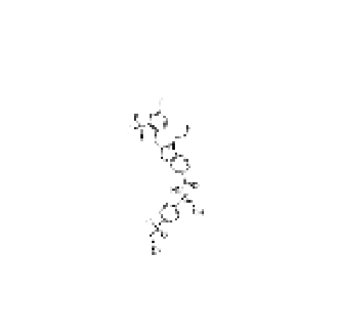 O=C(N[C@@H](CO)c1ccc(S(=O)(=O)CC2CC2)cc1)c1ccc2c(c1)cc(Cc1ccc(F)cc1C(F)(F)F)n2CCF